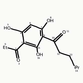 CCC(=O)c1c(O)cc(O)c(C(=O)CCC(C)C)c1O